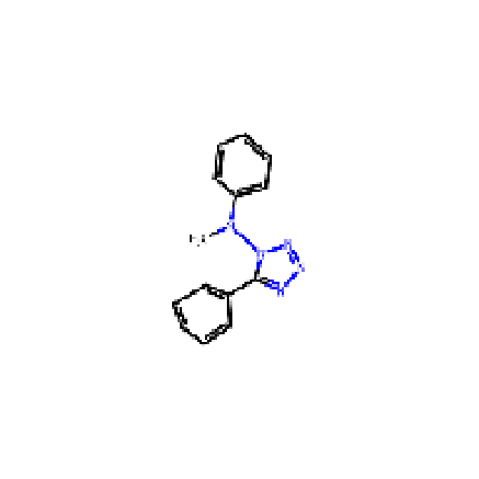 FC(F)(F)N(c1ccccc1)n1nnnc1-c1ccccc1